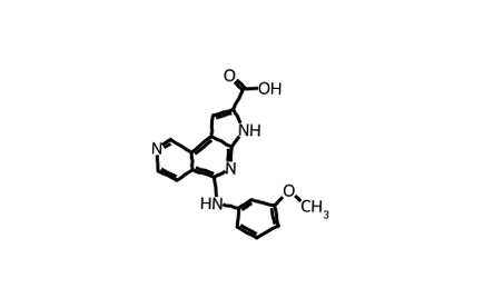 COc1cccc(Nc2nc3[nH]c(C(=O)O)cc3c3cnccc23)c1